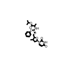 CC(C)OC(=O)C(C)NP(OCC1O[C@@H](n2ccc(=O)[nH]c2=O)CC1C)Oc1ccccc1